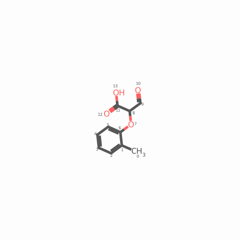 Cc1ccccc1OC(C=O)C(=O)O